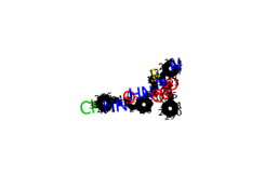 O=C(Cc1cccc(NC(=O)C2CSC(c3ccncc3)N2C(=O)OCc2ccccc2)c1)NCc1ccc(Cl)cc1